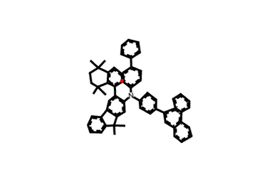 CC1(C)CCC(C)(C)c2c(-c3cc4c(cc3N(c3ccc(-c5ccccc5)cc3)c3ccc(-c5cc6ccccc6c6ccccc56)cc3)C(C)(C)c3ccccc3-4)cccc21